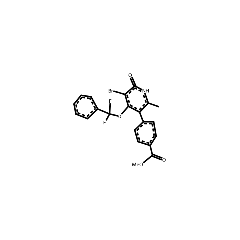 COC(=O)c1ccc(-c2c(C)[nH]c(=O)c(Br)c2OC(F)(F)c2ccccc2)cc1